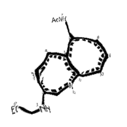 CCNc1ccc2c(NC(C)=O)cccc2n1